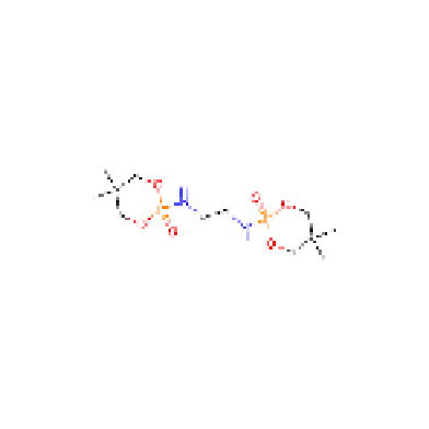 CC1(C)COP(=O)(NCCNP2(=O)OCC(C)(C)CO2)OC1